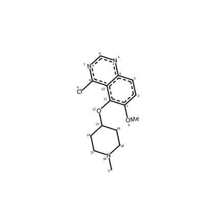 COc1ccc2ncnc(Cl)c2c1OC1CCN(C)CC1